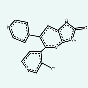 O=c1[nH]c2cc(-c3ccncc3)c(-c3ccncc3Cl)nc2[nH]1